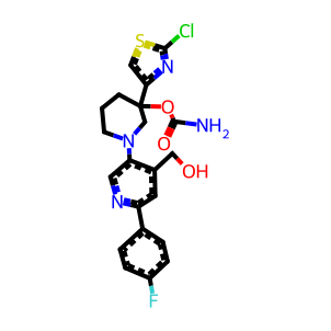 NC(=O)OC1(c2csc(Cl)n2)CCCN(c2cnc(-c3ccc(F)cc3)cc2CO)C1